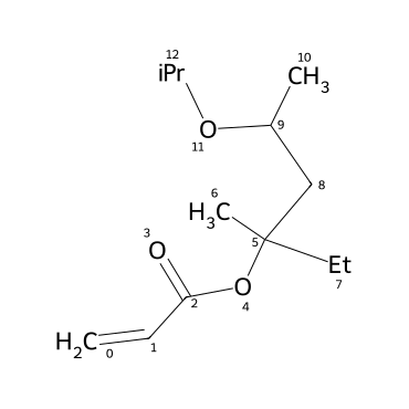 C=CC(=O)OC(C)(CC)CC(C)OC(C)C